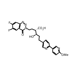 COc1ccc(-c2ccc(CC[C@@H](O)[C@H](CCn3nnc4cc(F)c(F)cc4c3=O)C(=O)O)cn2)cn1